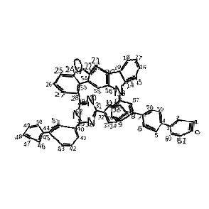 c1ccc(-c2ccc(-c3cccc(-n4c5ccccc5c5cc6oc7cccc(-c8nc(-c9ccccc9)nc(-c9cccc(-c%10ccccc%10)c9)n8)c7c6cc54)c3)cc2)cc1